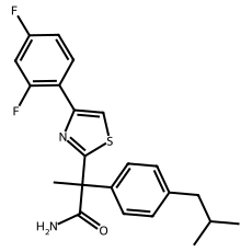 CC(C)Cc1ccc(C(C)(C(N)=O)c2nc(-c3ccc(F)cc3F)cs2)cc1